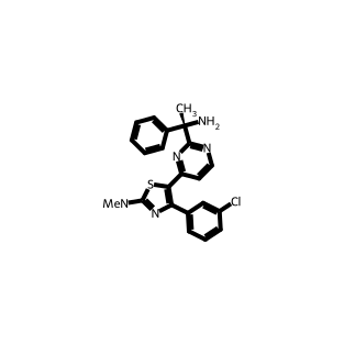 CNc1nc(-c2cccc(Cl)c2)c(-c2ccnc([C@@](C)(N)c3ccccc3)n2)s1